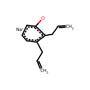 C=CCc1cccc([O-])c1CC=C.[Na+]